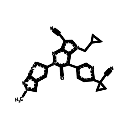 Cn1cc2cc(-n3nc4c(C#N)cn(CC5CC5)c4c(-c4ccc(C5(C#N)CC5)nc4)c3=O)ccc2n1